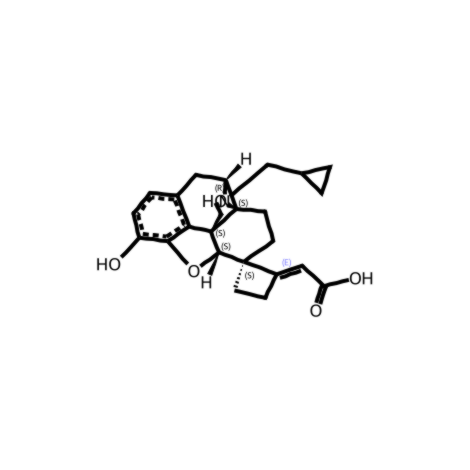 O=C(O)/C=C1\CC[C@]12CC[C@@]1(O)[C@H]3Cc4ccc(O)c5c4[C@@]1(CCN3CC1CC1)[C@H]2O5